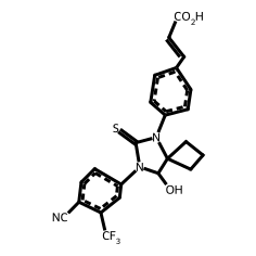 N#Cc1ccc(N2C(=S)N(c3ccc(/C=C/C(=O)O)cc3)C3(CCC3)C2O)cc1C(F)(F)F